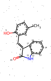 Cc1ccc(O)c(/C=C2/C(=O)Nc3ccccc32)c1